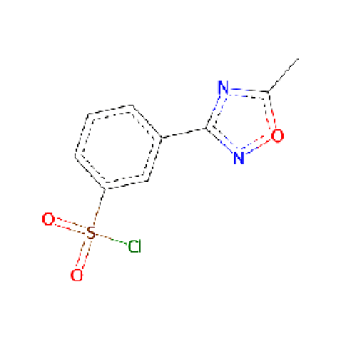 Cc1nc(-c2cccc(S(=O)(=O)Cl)c2)no1